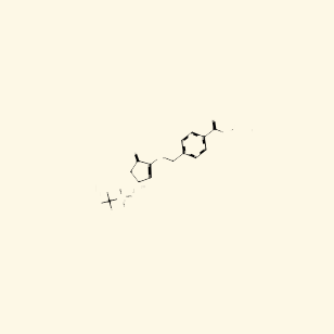 COC(=O)c1ccc(CSC2=C[C@H](O[Si](C)(C)C(C)(C)C)CC2=O)cc1